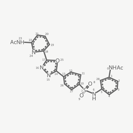 CC(=O)Nc1cccc(NS(=O)(=O)c2ccc(-c3nnc(-c4cccc(NC(C)=O)n4)o3)cc2)c1